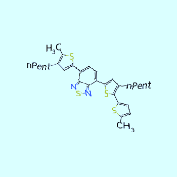 CCCCCc1cc(-c2ccc(-c3cc(CCCCC)c(-c4ccc(C)s4)s3)c3nsnc23)sc1C